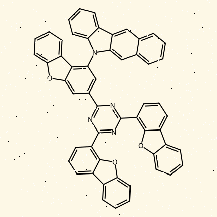 c1ccc2cc3c(cc2c1)c1ccccc1n3-c1cc(-c2nc(-c3cccc4c3oc3ccccc34)nc(-c3cccc4c3oc3ccccc34)n2)cc2oc3ccccc3c12